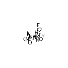 N#C[C@@H]1CCCN1C(=O)[C@@H](N)CN1C[C@@H]2C[C@H]1C(=O)N2[C@@H](c1ccc(F)cc1)C1CC1